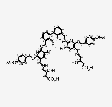 COc1ccc(COc2nc(OCc3cccc(-c4cccc(COc5nc(OCc6ccc(OC)nc6)c(CNCC(O)CC(=O)O)cc5Br)c4C)c3C)c(Br)cc2CNCC(O)CC(=O)O)cn1